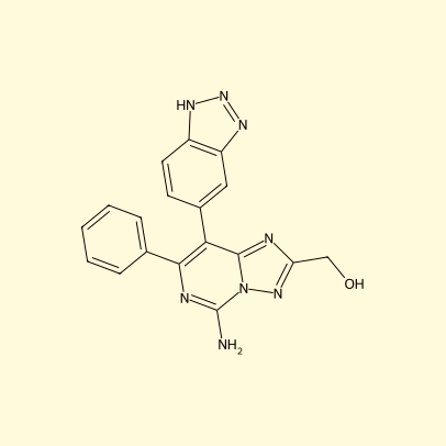 Nc1nc(-c2ccccc2)c(-c2ccc3[nH]nnc3c2)c2nc(CO)nn12